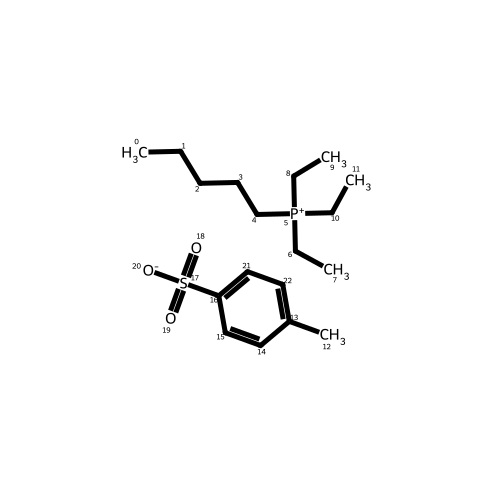 CCCCC[P+](CC)(CC)CC.Cc1ccc(S(=O)(=O)[O-])cc1